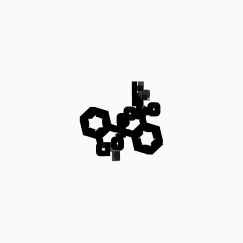 NS(=O)(=O)c1ccccc1S(=O)(=O)c1ccccc1C(F)(F)F